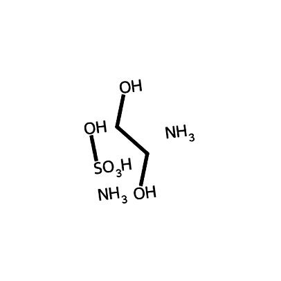 N.N.O=S(=O)(O)O.OCCO